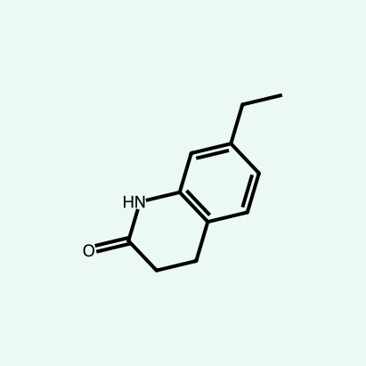 CCc1ccc2c(c1)NC(=O)CC2